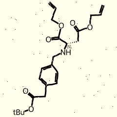 C=CCOC(=O)C[C@H](NCc1ccc(CC(=O)OC(C)(C)C)cc1)C(=O)OCC=C